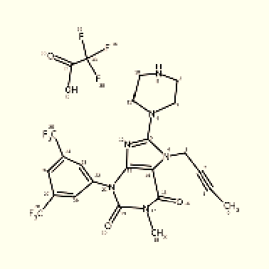 CC#CCn1c(N2CCNCC2)nc2c1c(=O)n(C)c(=O)n2-c1cc(C(F)(F)F)cc(C(F)(F)F)c1.O=C(O)C(F)(F)F